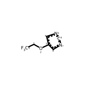 FC(F)(F)COc1cn[c]nc1